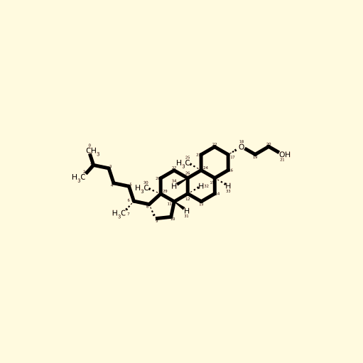 CC(C)CCC[C@@H](C)[C@H]1CC[C@H]2[C@@H]3CC[C@@H]4C[C@@H](OCCO)CC[C@]4(C)[C@H]3CC[C@]12C